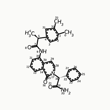 Cc1ccc([C@H](C)C(=O)Nc2cccc3c(=O)n([C@@H](C(N)=O)c4ccccc4)ccc23)cc1C